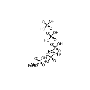 O=P([O-])(O)O.O=P([O-])(O)O.O=P([O-])(O)O.O=P([O-])(O)O.O=P([O-])(O)O.[Fe+2].[Li+].[Mn+2]